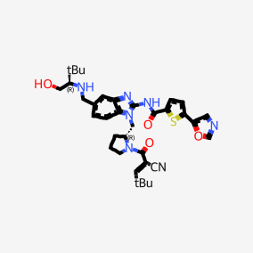 CC(C)(C)C=C(C#N)C(=O)N1CCC[C@@H]1Cn1c(NC(=O)c2ccc(-c3cnco3)s2)nc2cc(CN[C@@H](CO)C(C)(C)C)ccc21